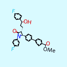 COC(=O)c1ccc(-c2ccc([C@@H]3[C@@H](CC[C@H](O)c4ccc(F)cc4)C(=O)N3c3ccc(F)cc3)cc2)cc1